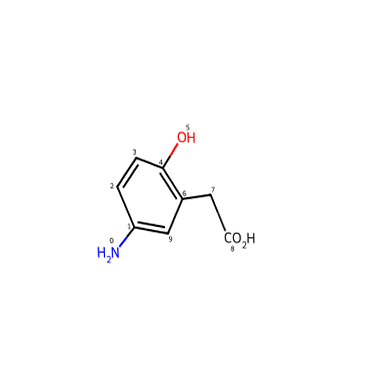 Nc1ccc(O)c(CC(=O)O)c1